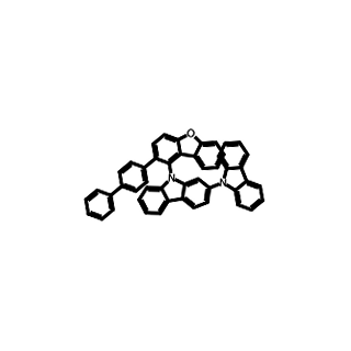 c1ccc(-c2ccc(-c3ccc4oc5ccccc5c4c3-n3c4ccccc4c4ccc(-n5c6ccccc6c6ccccc65)cc43)cc2)cc1